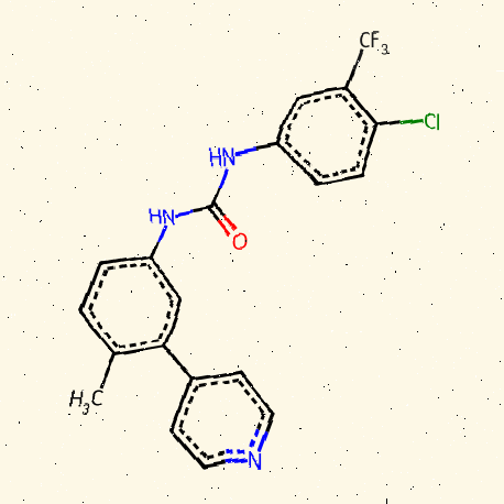 Cc1ccc(NC(=O)Nc2ccc(Cl)c(C(F)(F)F)c2)cc1-c1ccncc1